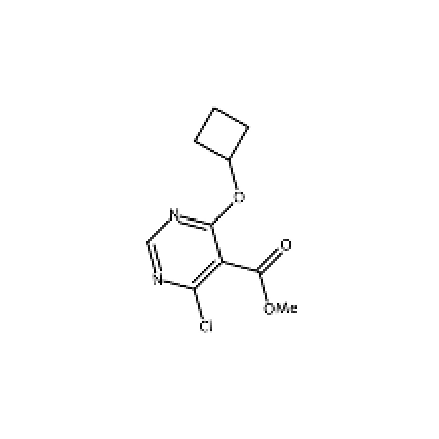 COC(=O)c1c(Cl)ncnc1OC1CCC1